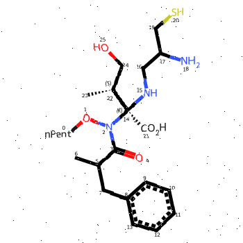 CCCCCON(C(=O)C(C)Cc1ccccc1)[C@@](NCC(N)CS)(C(=O)O)[C@H](C)CO